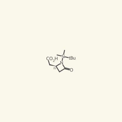 CC(C)(C)[Si](C)(C)N1C(=O)C[C@H]1CC(=O)O